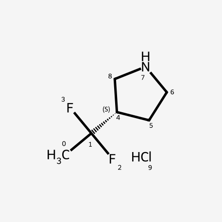 CC(F)(F)[C@H]1CCNC1.Cl